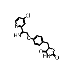 N=C(COc1ccc(CC2SC(=O)NC2=O)cc1)c1cc(Cl)ccn1